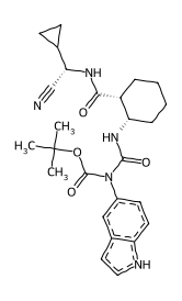 CC(C)(C)OC(=O)N(C(=O)N[C@H]1CCCC[C@H]1C(=O)N[C@H](C#N)C1CC1)c1ccc2[nH]ccc2c1